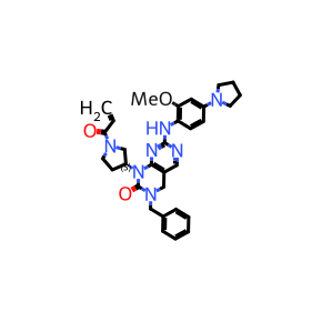 C=CC(=O)N1CC[C@H](N2C(=O)N(Cc3ccccc3)Cc3cnc(Nc4ccc(N5CCCC5)cc4OC)nc32)C1